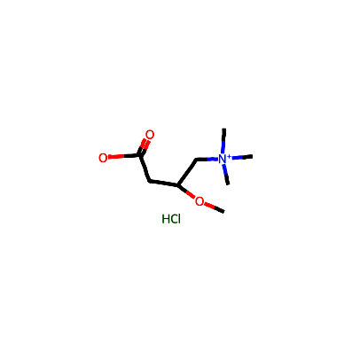 COC(CC(=O)[O-])C[N+](C)(C)C.Cl